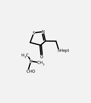 CCCCCCCCC1=NSCC1=O.CN(C)C=O